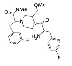 CNC(=O)C(Cc1cccc(F)c1)N1CCN(C(=O)C(N)Cc2ccc(F)cc2)C(COC)C1